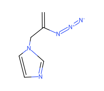 C=C(Cn1ccnc1)N=[N+]=[N-]